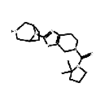 CC1(C)CCCN1C(=O)N1CCc2nc(N3C4CCC3CNC4)sc2C1